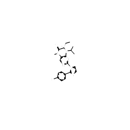 CC[C@@H]1C(=O)N(C)c2cnc(-n3ccnc3-c3ccc(F)cc3)nc2N1C(C)C